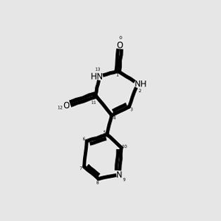 O=c1[nH]cc(-c2cccnc2)c(=O)[nH]1